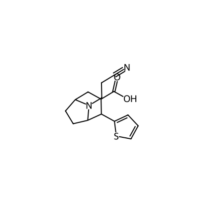 N#CCCN1C2CCC1C(c1cccs1)C(C(=O)O)C2